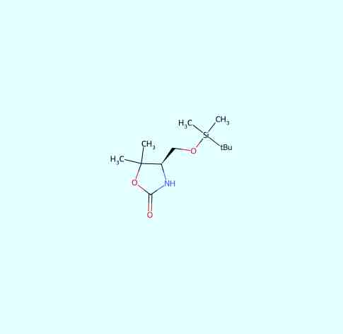 CC1(C)OC(=O)N[C@@H]1CO[Si](C)(C)C(C)(C)C